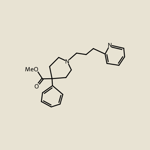 COC(=O)C1(c2ccccc2)CCN(CCCc2ccccn2)CC1